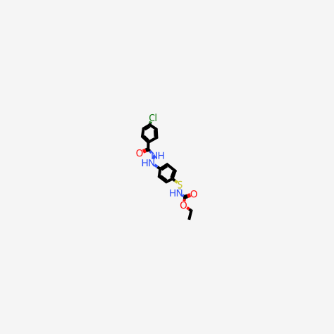 CCOC(=O)NSc1ccc(NNC(=O)c2ccc(Cl)cc2)cc1